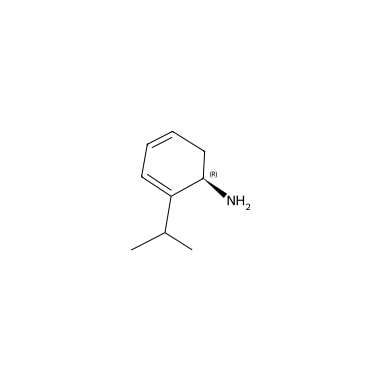 CC(C)C1=CC=CC[C@H]1N